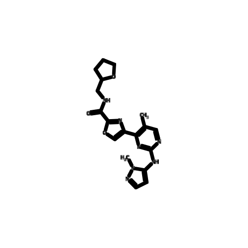 Cc1cnc(Nc2ccnn2C)nc1-c1coc(C(=O)NCC2CCCO2)n1